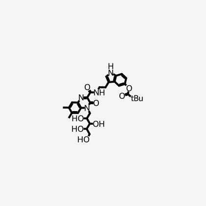 Cc1cc2nc(C(=O)NCCc3c[nH]c4ccc(OC(=O)C(C)(C)C)cc34)c(=O)n(CC(O)C(O)C(O)CO)c2cc1C